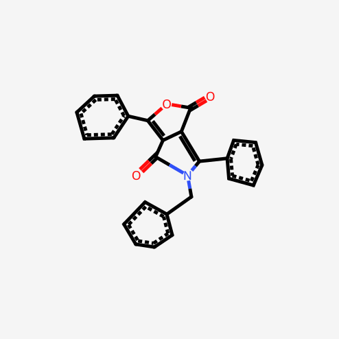 O=C1OC(c2ccccc2)=C2C(=O)N(Cc3ccccc3)C(c3ccccc3)=C12